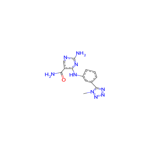 Cn1nnnc1-c1cccc(Nc2nc(N)ncc2C(N)=O)c1